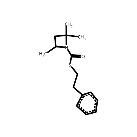 CC1CC(C)(C)N1C(=O)SCCc1ccccc1